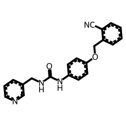 N#Cc1ccccc1COc1ccc(NC(=O)NCc2cccnc2)cc1